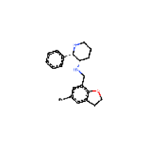 CC(C)c1cc2c(c(CN[C@H]3CCCN[C@H]3c3ccccc3)c1)OCC2